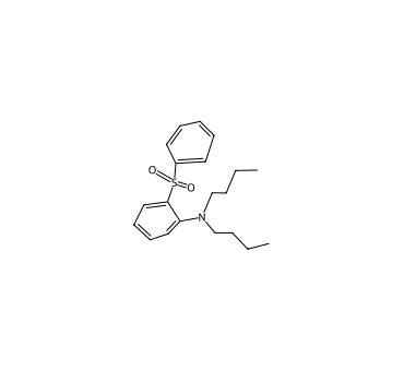 CCCCN(CCCC)c1ccccc1S(=O)(=O)c1ccccc1